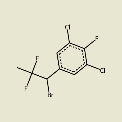 CC(F)(F)C(Br)c1cc(Cl)c(F)c(Cl)c1